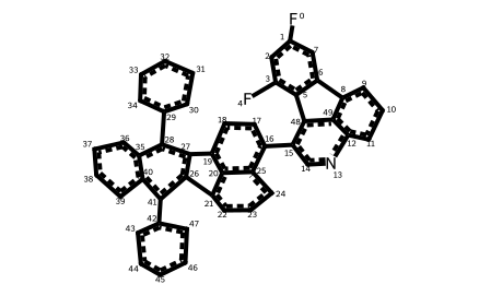 Fc1cc(F)c2c(c1)-c1cccc3ncc(-c4ccc5c6c(cccc46)-c4c-5c(-c5ccccc5)c5ccccc5c4-c4ccccc4)c-2c13